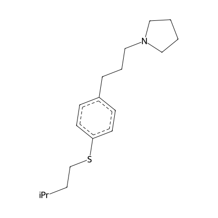 CC(C)CCSc1ccc(CCCN2CCCC2)cc1